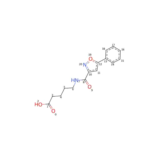 O=C(O)CCCCNC(=O)c1cc(-c2ccccc2)on1